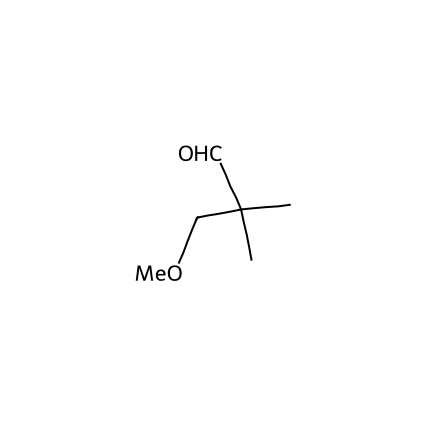 COCC(C)(C)C=O